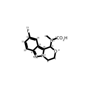 CN(C(=O)O)C1OCCn2nc3ccc(F)cc3c21